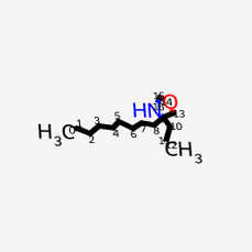 CCCCCCCCCC1(CCC)COCN1